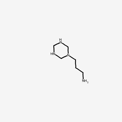 NCCCN1CNCNC1